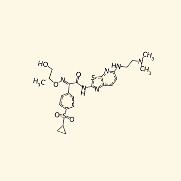 C[C@H](CO)O/N=C(/C(=O)Nc1nc2ccc(NCCN(C)C)nc2s1)c1ccc(S(=O)(=O)C2CC2)cc1